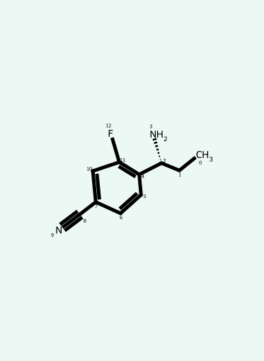 CC[C@@H](N)c1ccc(C#N)cc1F